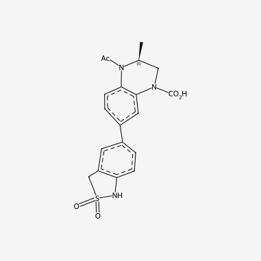 CC(=O)N1c2ccc(-c3ccc4c(c3)CS(=O)(=O)N4)cc2N(C(=O)O)C[C@@H]1C